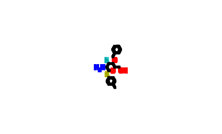 Cc1ccc(S[C@@H]2O[C@H](CO)[C@@H](OCc3ccccc3)[C@H](F)[C@H]2N)cc1